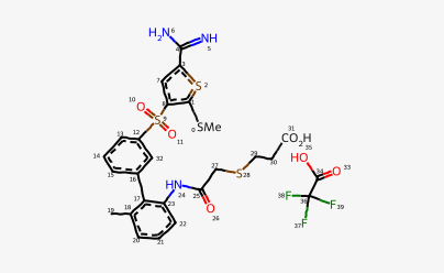 CSc1sc(C(=N)N)cc1S(=O)(=O)c1cccc(-c2c(C)cccc2NC(=O)CSCCC(=O)O)c1.O=C(O)C(F)(F)F